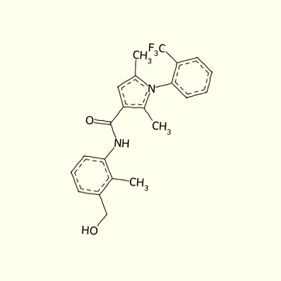 Cc1c(CO)cccc1NC(=O)c1cc(C)n(-c2ccccc2C(F)(F)F)c1C